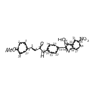 COc1ccc(/C=C/C(=O)Nc2ccc(-c3nc4ccc([N+](=O)[O-])cc4n3O)cc2)cc1